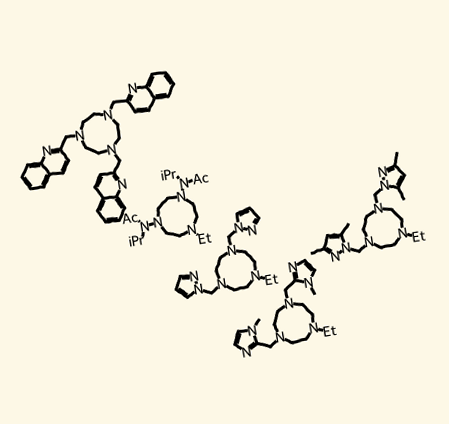 CCN1CCN(Cc2nccn2C)CCN(Cc2nccn2C)CC1.CCN1CCN(Cn2cccn2)CCN(Cn2cccn2)CC1.CCN1CCN(Cn2nc(C)cc2C)CCN(Cn2nc(C)cc2C)CC1.CCN1CCN(N(C(C)=O)C(C)C)CCN(N(C(C)=O)C(C)C)CC1.c1ccc2nc(CN3CCN(Cc4ccc5ccccc5n4)CCN(Cc4ccc5ccccc5n4)CC3)ccc2c1